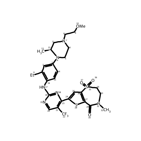 CCc1cc(N2CCN(CCOC)C[C@@H]2C)ccc1Nc1ncc(C(F)(F)F)c(-c2cc3c(s2)C(=O)N(C)CCS3(=O)=O)n1